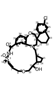 O=C1NS(=O)(=O)C=CCOCC(O)C2CCC2CN2CC3(CCCc4cc(Cl)ccc43)COc3ccc1cc32